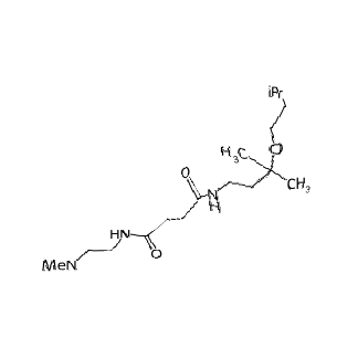 CNCCNC(=O)CCC(=O)NCCC(C)(C)OCCC(C)C